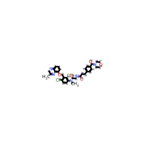 Cc1cnc2cccc(OCc3c(Cl)ccc(N(C)C(=O)CNC(=O)/C=C/c4ccc(C(=O)N5CCOCC5)cc4)c3Cl)c2n1